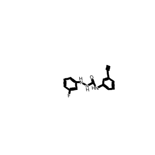 C#Cc1cccc(NC(=O)NNc2cccc(F)c2)c1